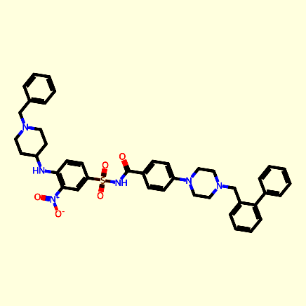 O=C(NS(=O)(=O)c1ccc(NC2CCN(Cc3ccccc3)CC2)c([N+](=O)[O-])c1)c1ccc(N2CCN(Cc3ccccc3-c3ccccc3)CC2)cc1